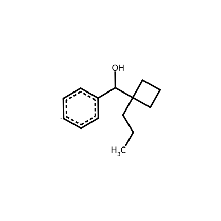 CCCC1(C(O)c2cc[c]cc2)CCC1